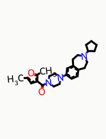 Cc1cc(C(=O)N2CCN(c3ccc4c(c3)CCN(C3CCCC3)CC4)CC2)c(C)o1